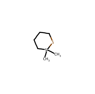 C[Si]1(C)CCCCS1